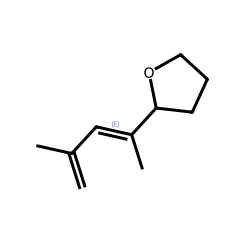 C=C(C)/C=C(\C)C1CCCO1